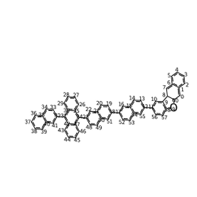 C1=c2ccccc2=CC2c3cc(-c4ccc5cc(-c6ccc7cc(-c8c9ccccc9c(-c9ccc%10ccccc%10c9)c9ccccc89)ccc7c6)ccc5c4)ccc3OC12